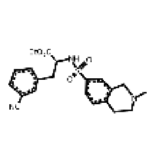 CCOC(=O)[C@H](Cc1cccc(C#N)c1)NS(=O)(=O)c1ccc2c(c1)CN(C)CC2